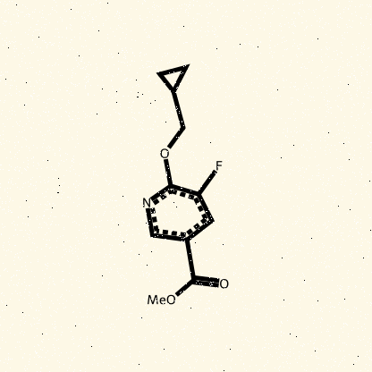 COC(=O)c1cnc(OCC2CC2)c(F)c1